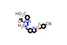 CN(Cc1ccc2ccc(OCc3ccc(C#N)cc3F)nc2c1)Cc1nc2ccc(C(=O)O)cc2n1C[C@@H]1CCO1